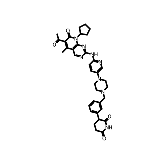 CC(=O)c1c(C)c2cnc(Nc3ccc(N4CCN(Cc5cccc(C6CCC(=O)NC6=O)c5)CC4)cn3)nc2n(C2CCCC2)c1=O